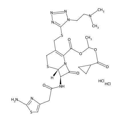 CC(OC(=O)C1=C(CSc2nnnn2CCN(C)C)CS[C@H]2[C@H](NC(=O)Cc3csc(N)n3)C(=O)N12)OC(=O)C1CC1.Cl.Cl